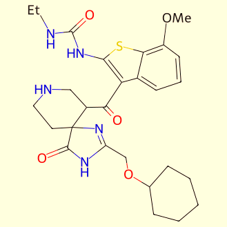 CCNC(=O)Nc1sc2c(OC)cccc2c1C(=O)C1CNCCC12N=C(COC1CCCCC1)NC2=O